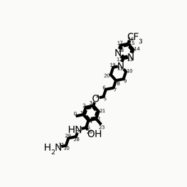 Cc1cc(OCCCC2CCN(c3ncc(C(F)(F)F)cn3)CC2)cc(C)c1C(O)NCCCN